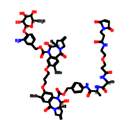 C=C1C[C@H]2[C@H](O)N(C(=O)OCc3ccc(NC(=O)[C@H](C)NC(=O)[C@@H](NC(=O)CCOCCNC(=O)CCN4C(=O)C=CC4=O)C(C)C)cc3)c3cc(OCCCOc4cc5c(cc4OC)C(=O)N4CC(=C)C[C@H]4[C@H](O)N5C(=O)OCc4ccc(O[C@@H]5O[C@H](C(=O)O)C(O)[C@H](O)C5O)c(N)c4)c(OC)cc3C(=O)N2C1